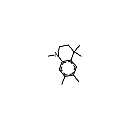 Cc1cc2c(cc1C)C(C)(C)CCN2C